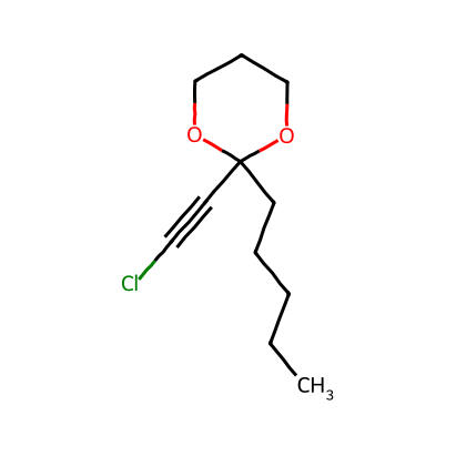 CCCCCC1(C#CCl)OCCCO1